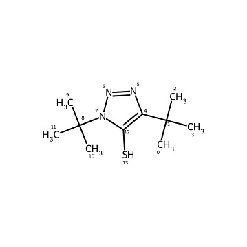 CC(C)(C)c1nnn(C(C)(C)C)c1S